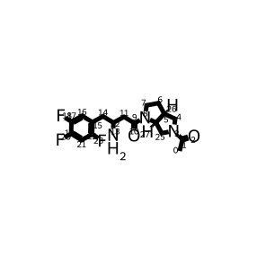 CC(=O)N1C[C@@H]2CCN(C(=O)CC(N)Cc3cc(F)c(F)cc3F)[C@@H]2C1